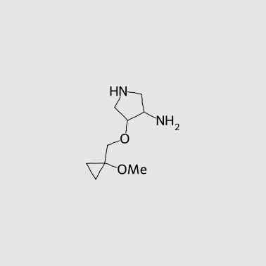 COC1(COC2CNCC2N)CC1